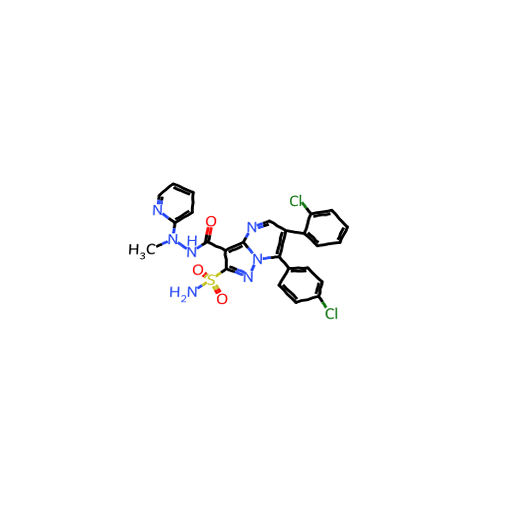 CN(NC(=O)c1c(S(N)(=O)=O)nn2c(-c3ccc(Cl)cc3)c(-c3ccccc3Cl)cnc12)c1ccccn1